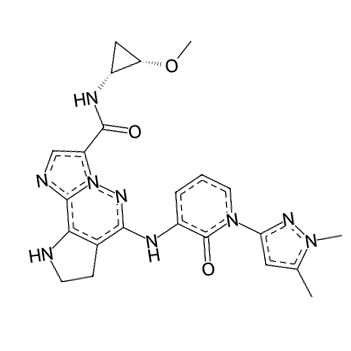 CO[C@H]1C[C@H]1NC(=O)c1cnc2c3c(c(Nc4cccn(-c5cc(C)n(C)n5)c4=O)nn12)CCN3